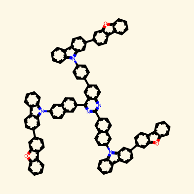 c1ccc2c(c1)oc1cc(-c3ccc4c5ccccc5n(-c5ccc(-c6ccc7nc(-c8ccc9cc(-n%10c%11ccccc%11c%11ccc(-c%12ccc%13c(c%12)oc%12ccccc%12%13)cc%11%10)ccc9c8)nc(-c8ccc9cc(-n%10c%11ccccc%11c%11ccc(-c%12ccc%13c(c%12)oc%12ccccc%12%13)cc%11%10)ccc9c8)c7c6)cc5)c4c3)ccc12